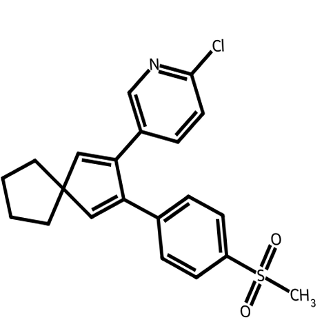 CS(=O)(=O)c1ccc(C2=CC3(C=C2c2ccc(Cl)nc2)CCCC3)cc1